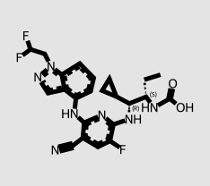 CC[C@H](NC(=O)O)[C@H](Nc1nc(Nc2cccc3c2cnn3CC(F)F)c(C#N)cc1F)C1CC1